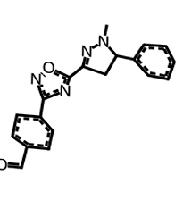 CN1N=C(c2nc(-c3ccc(C=O)cc3)no2)CC1c1ccccc1